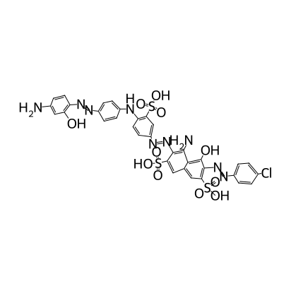 Nc1ccc(N=Nc2ccc(Nc3ccc(N=Nc4c(S(=O)(=O)O)cc5cc(S(=O)(=O)O)c(N=Nc6ccc(Cl)cc6)c(O)c5c4N)cc3S(=O)(=O)O)cc2)c(O)c1